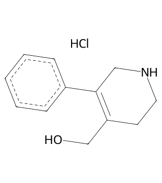 Cl.OCC1=C(c2ccccc2)CNCC1